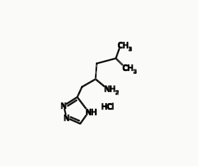 CC(C)CC(N)Cc1nnc[nH]1.Cl